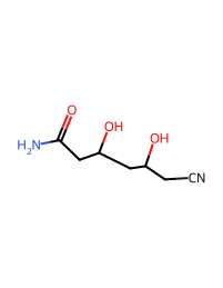 N#CCC(O)CC(O)CC(N)=O